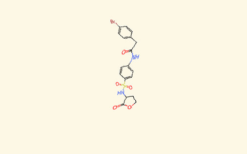 O=C(Cc1ccc(Br)cc1)Nc1ccc(S(=O)(=O)NC2CCOC2=O)cc1